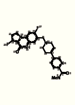 CNC(=O)c1ccc(C2=CCN(Cc3cc4[nH]c(=O)c5c(F)ccn5c4cc3F)CC2)cn1